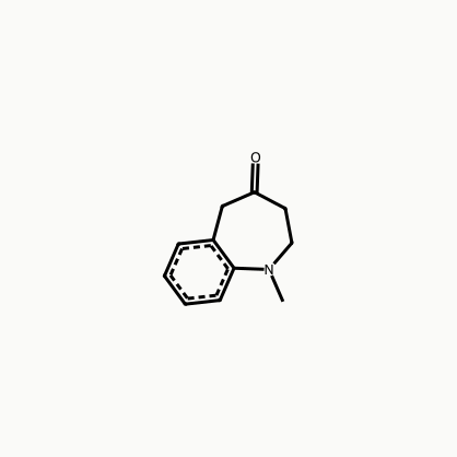 CN1CCC(=O)Cc2ccccc21